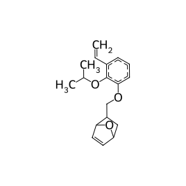 C=Cc1cccc(OCC2CC3C=CC2O3)c1OC(C)C